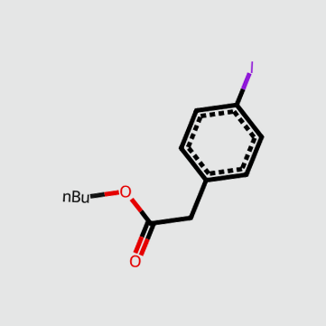 CCCCOC(=O)Cc1ccc(I)cc1